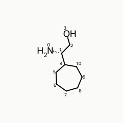 N[C@H](CO)C1CCCCCC1